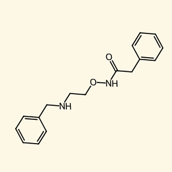 O=C(Cc1ccccc1)NOCCNCc1ccccc1